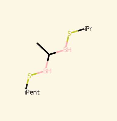 CCCC(C)SBC(C)BSC(C)C